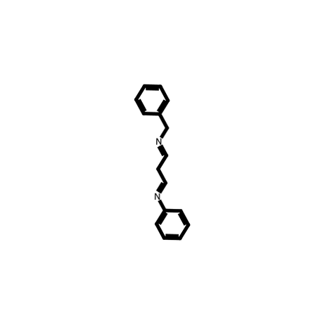 C(/C/C=N/c1ccccc1)=N\Cc1ccccc1